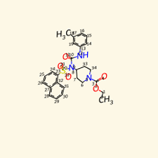 CCOC(=O)N1CCC(N(C(=O)Nc2cccc(C)c2)S(=O)(=O)c2cccc3ccccc23)CC1